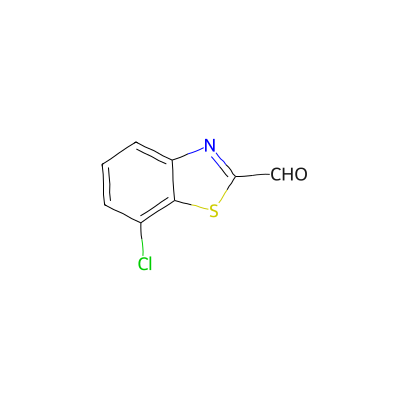 O=Cc1nc2cccc(Cl)c2s1